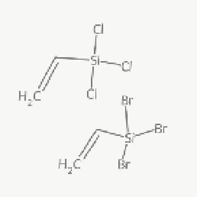 C=C[Si](Br)(Br)Br.C=C[Si](Cl)(Cl)Cl